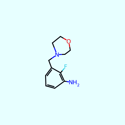 Nc1cccc(CN2CCOCC2)c1F